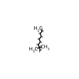 C=CCCCCCC(C)(C)F